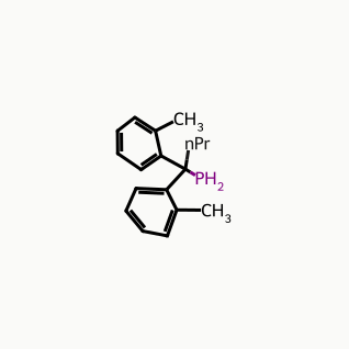 CCCC(P)(c1ccccc1C)c1ccccc1C